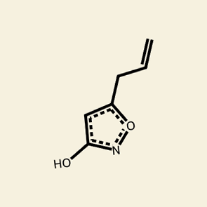 C=CCc1cc(O)no1